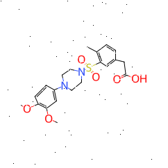 COc1ccc(N2CCN(S(=O)(=O)c3cc(CC(=O)O)ccc3C)CC2)cc1OC